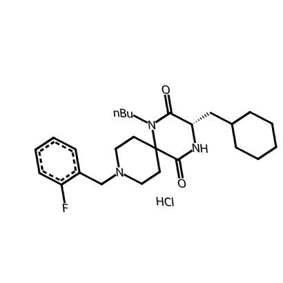 CCCCN1C(=O)[C@H](CC2CCCCC2)NC(=O)C12CCN(Cc1ccccc1F)CC2.Cl